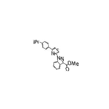 COC(=O)c1nn(-c2nc(-c3ccc(C(C)C)cc3)cs2)c2ccccc12